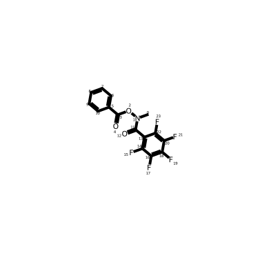 CN(OC(=O)c1ccccc1)C(=O)c1c(F)c(F)c(F)c(F)c1F